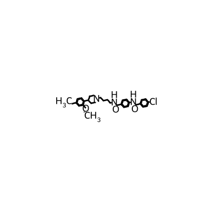 CCOc1cc(CC)ccc1C1CCN(CCCCNC(=O)c2ccc(NC(=O)c3ccc(Cl)cc3)cc2)CC1